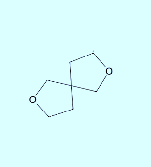 [CH]1CC2(CCOC2)CO1